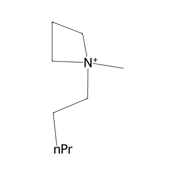 CCCCC[N+]1(C)CCC1